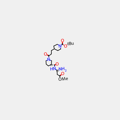 COC(=O)C[C@@H](N)NC(=O)[C@@H]1CCCN(C(=O)CCC2CCN(C(=O)OC(C)(C)C)CC2)C1